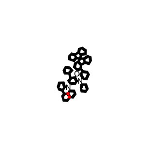 c1ccc(-c2cc(N(c3ccccc3)c3ccccc3-c3ccccc3)cc(N(c3ccccc3)c3cccc4c3oc3ccc5c(c34)-c3ccccc3C53c4ccccc4-c4ccccc43)c2)cc1